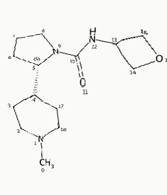 CN1CCC([C@@H]2CCCN2C(=O)NC2COC2)CC1